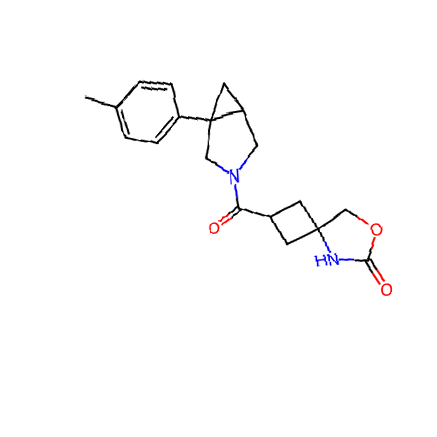 Cc1ccc(C23CC2CN(C(=O)C2CC4(COC(=O)N4)C2)C3)cc1